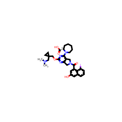 CN(C)CC1(COc2nc3c(c(N4CCCCC[C@H]4C(=O)O)n2)CN(C(=O)c2cc(O)cc4cccc(I)c24)C3)CC1